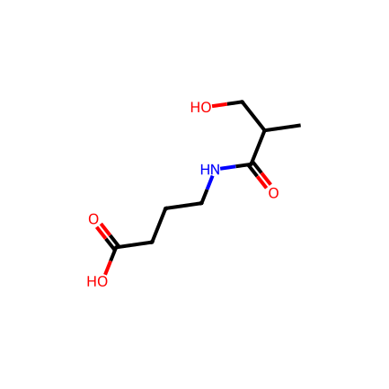 CC(CO)C(=O)NCCCC(=O)O